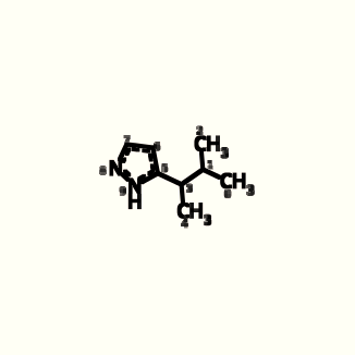 CC(C)C(C)c1ccn[nH]1